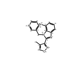 Cc1nonc1-c1nc2cccc(Br)c2n1Cc1cccnc1